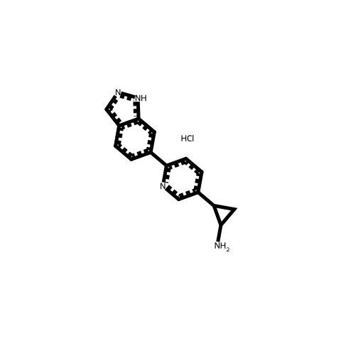 Cl.NC1CC1c1ccc(-c2ccc3cn[nH]c3c2)nc1